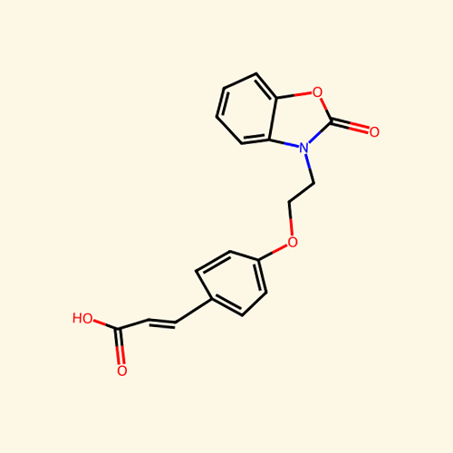 O=C(O)C=Cc1ccc(OCCn2c(=O)oc3ccccc32)cc1